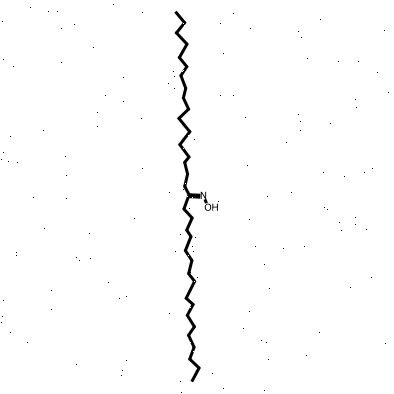 CCCCCCCCCCCCCCCCCC(CCCCCCCCCCCCCCCCC)=NO